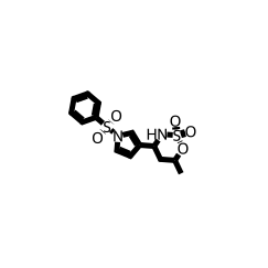 CC1CC(c2ccn(S(=O)(=O)c3ccccc3)c2)NS(=O)(=O)O1